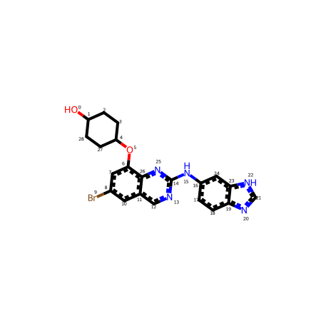 OC1CCC(Oc2cc(Br)cc3cnc(Nc4ccc5nc[nH]c5c4)nc23)CC1